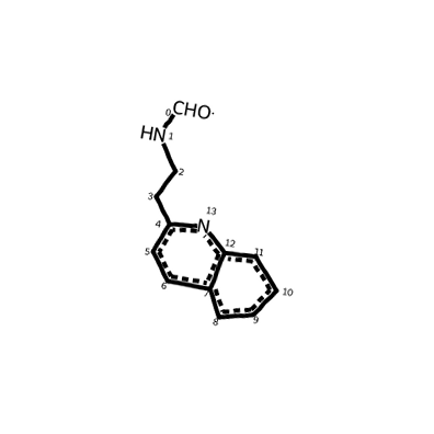 O=[C]NCCc1ccc2ccccc2n1